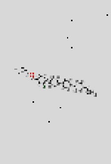 C=CCOCc1ccc(-c2ccc(-c3ccc([C@H]4CC[C@H](C=C)CC4)cc3)cc2)c(F)c1